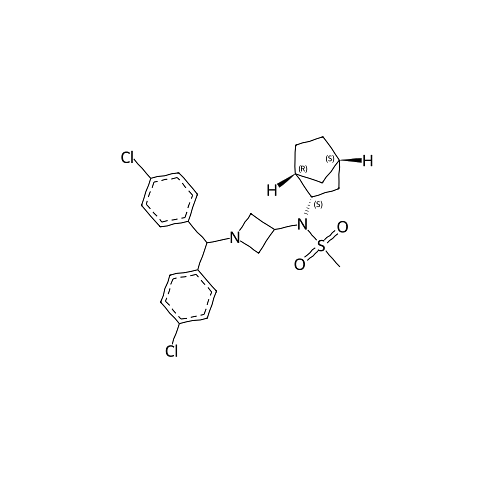 CS(=O)(=O)N(C1CN(C(c2ccc(Cl)cc2)c2ccc(Cl)cc2)C1)[C@H]1C[C@H]2CC[C@@H]1C2